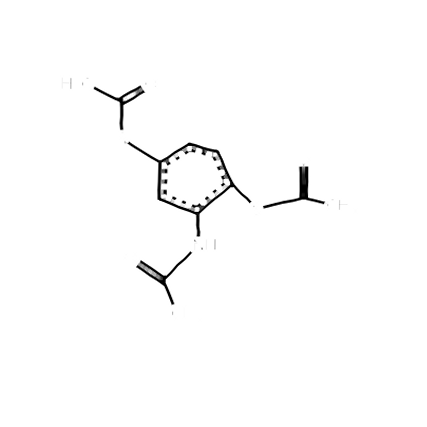 CC(=O)Nc1cc(SC(C)=O)ccc1SC(C)=O